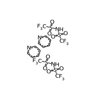 O=S(=O)(NS(=O)(=O)C(F)(F)F)C(F)(F)F.O=S(=O)(NS(=O)(=O)C(F)(F)F)C(F)(F)F.c1ccncc1.c1ccncc1